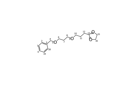 c1ccc(COCCCOCCCC2OCCO2)cc1